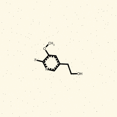 COc1cc(CCO)cnc1F